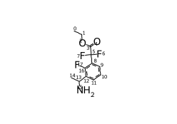 CCOC(=O)C(F)(F)c1cccc(C(C)N)c1F